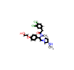 CN[C@H]1CCN(CC(c2ccc(OCCO)cc2)N(C)C(=O)Cc2ccc(Cl)c(Cl)c2)C1